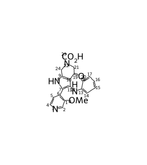 COc1cnccc1-c1[nH]c2c(c1Nc1ccccc1)C(=O)CN(C(=O)O)C2